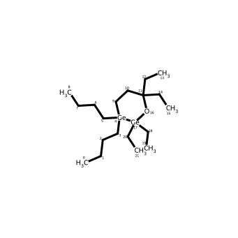 CCC[CH2][Ge]1([CH2]CCC)[CH2]CC(CC)(CC)[O][Ge]1([CH2]C)[CH2]C